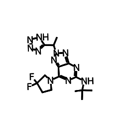 CC(c1nnn[nH]1)n1nc2nc(NC(C)(C)C)nc(N3CCC(F)(F)C3)c2n1